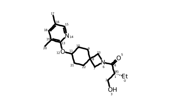 CC[C@H](CO)C(=O)N1CC2(CCC(Oc3ncc(C)cc3C)CC2)C1